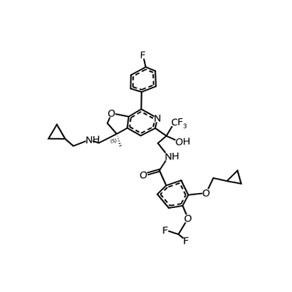 C[C@]1(CNCC2CC2)COc2c1cc(C(O)(CNC(=O)c1ccc(OC(F)F)c(OCC3CC3)c1)C(F)(F)F)nc2-c1ccc(F)cc1